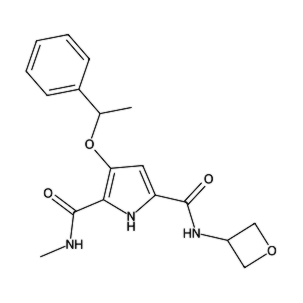 CNC(=O)c1[nH]c(C(=O)NC2COC2)cc1OC(C)c1ccccc1